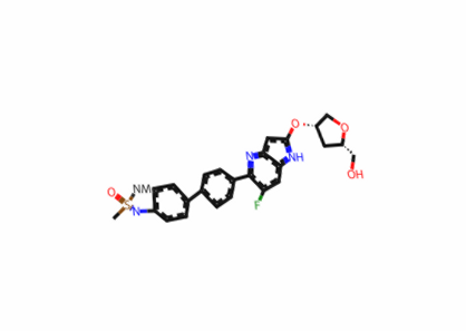 CNS(C)(=O)=Nc1ccc(-c2ccc(-c3nc4cc(O[C@@H]5CO[C@H](CO)C5)[nH]c4cc3F)cc2)cc1